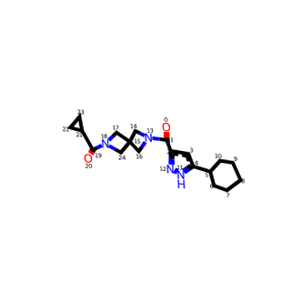 O=C(c1cc(C2CCCCC2)[nH]n1)N1CC2(C1)CN(C(=O)C1CC1)C2